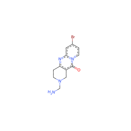 NCN1CCc2nc3cc(Br)ccn3c(=O)c2C1